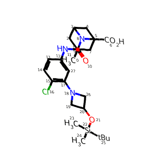 CC1CC2CC(C(=O)O)(C1)N2C(=O)Nc1ccc(Cl)c(N2CC(O[Si](C)(C)C(C)(C)C)C2)c1